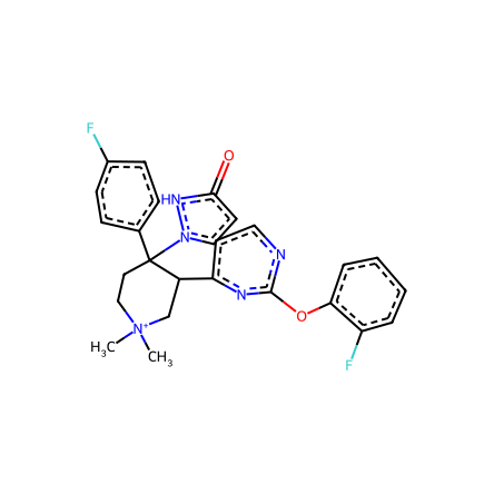 C[N+]1(C)CCC(c2ccc(F)cc2)(n2ccc(=O)[nH]2)C(c2ccnc(Oc3ccccc3F)n2)C1